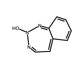 ON1N=CC=c2ccccc2=N1